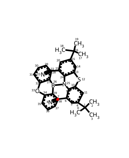 CC(C)(C)c1cc(C#N)c2c(c1)Sc1cc(C(C)(C)C)cc(C#N)c1N2B1c2ccccc2Oc2ccccc21